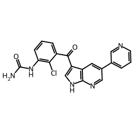 NC(=O)Nc1cccc(C(=O)c2c[nH]c3ncc(-c4cccnc4)cc23)c1Cl